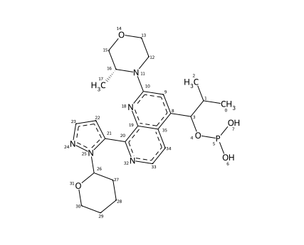 CC(C)C(OP(O)O)c1cc(N2CCOC[C@H]2C)nc2c(-c3ccnn3C3CCCCO3)nccc12